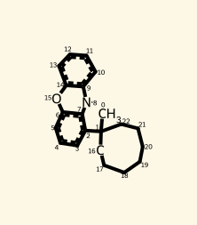 CC1(c2cccc3c2[N]c2ccccc2O3)CCCCCCC1